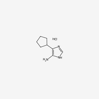 Cl.Nc1[nH]cnc1C1CCCC1